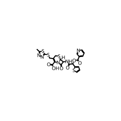 Cc1nnc(SCC2=C(C(=O)O)N3C(=O)C(NC(=O)C(OC(=O)c4cccnc4)c4cccs4)[C@@H]3SC2)s1